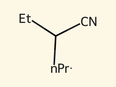 CC[CH]C(C#N)CC